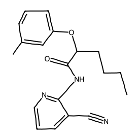 CCCCC(Oc1cccc(C)c1)C(=O)Nc1ncccc1C#N